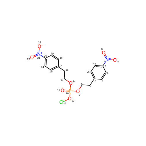 O=[N+]([O-])c1ccc(CCOP(=O)(OCl)OCCc2ccc([N+](=O)[O-])cc2)cc1